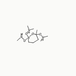 C[SiH](C)OC1(C)CCC[Si](O[SiH](C)C)(O[SiH](C)C)O1